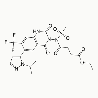 CCOC(=O)CCC(=O)N(n1c(=O)[nH]c2cc(C(F)(F)F)c(-c3ccnn3C(C)C)cc2c1=O)S(C)(=O)=O